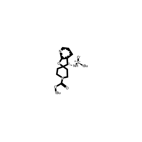 CC(C)(C)OC(=O)N1CCC2(CC1)Oc1ncccc1[C@@H]2N[S@@+]([O-])C(C)(C)C